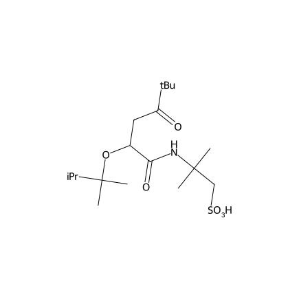 CC(C)C(C)(C)OC(CC(=O)C(C)(C)C)C(=O)NC(C)(C)CS(=O)(=O)O